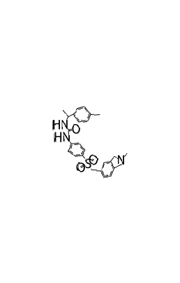 Cc1ccc(C(C)NC(=O)Nc2ccc(S(=O)(=O)Cc3ccc4c(c3)CN(C)C4)cc2)cc1